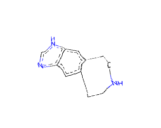 c1nc2cc3c(cc2[nH]1)CCNCC3